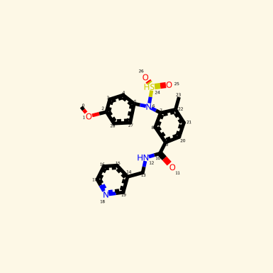 COc1ccc(N(c2cc(C(=O)NCc3cccnc3)ccc2C)[SH](=O)=O)cc1